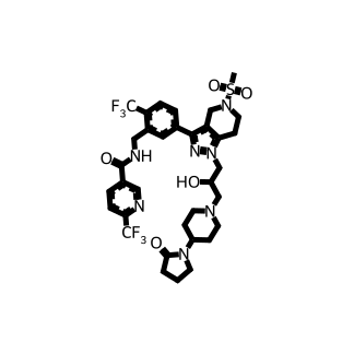 CS(=O)(=O)N1CCc2c(c(-c3ccc(C(F)(F)F)c(CNC(=O)c4ccc(C(F)(F)F)nc4)c3)nn2CC(O)CN2CCC(N3CCCC3=O)CC2)C1